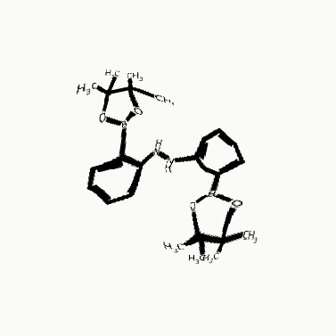 CC1(C)OB(c2ccccc2NNc2ccccc2B2OC(C)(C)C(C)(C)O2)OC1(C)C